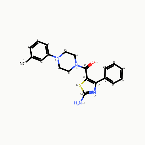 N#Cc1cccc(N2CCN(C(=O)c3sc(N)nc3-c3ccccc3)CC2)c1